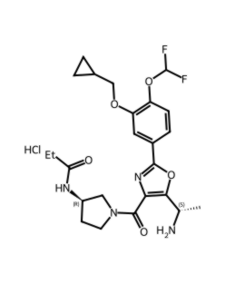 CCC(=O)N[C@@H]1CCN(C(=O)c2nc(-c3ccc(OC(F)F)c(OCC4CC4)c3)oc2[C@H](C)N)C1.Cl